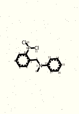 CN(Cc1ccccc1P(Cl)Cl)c1ccccc1